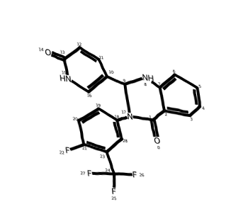 O=C1c2ccccc2NC(c2ccc(=O)[nH]c2)N1c1ccc(F)c(C(F)(F)F)c1